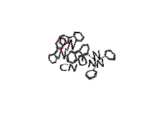 N#Cc1cc(-n2c3ccccc3c3ccccc32)c(-n2c3ccccc3c3ccccc32)c2c1oc1c(-c3nc(-c4ccccc4)nc(-c4ccccc4)n3)cccc12